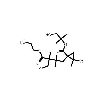 CCC1(C)CC1(CC(C)(C)C(C)(CC(C)C)C(=O)OCCO)C(=O)OC(C)(C)CO